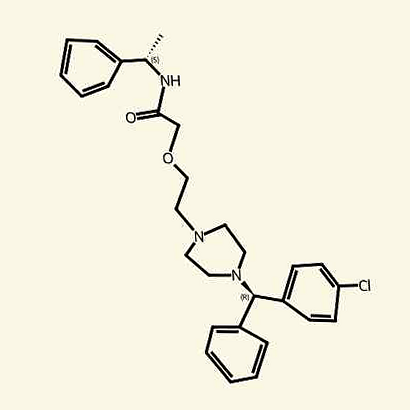 C[C@H](NC(=O)COCCN1CCN([C@H](c2ccccc2)c2ccc(Cl)cc2)CC1)c1ccccc1